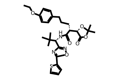 CCOc1ccc(CCC[C@@H](C(=O)N[C@H](c2noc(-c3cccs3)n2)C(C)(C)C)[C@@H]2OC(C)(C)OC2=O)cc1